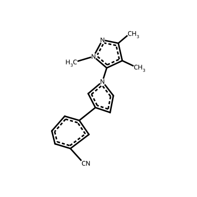 Cc1nn(C)c(-n2ccc(-c3cccc(C#N)c3)c2)c1C